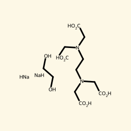 O=C(O)CN(CCN(CC(=O)O)CC(=O)O)CC(=O)O.OCCO.[NaH].[NaH]